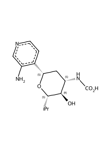 CC(C)[C@@H]1O[C@H](c2ccncc2N)C[C@H](NC(=O)O)[C@H]1O